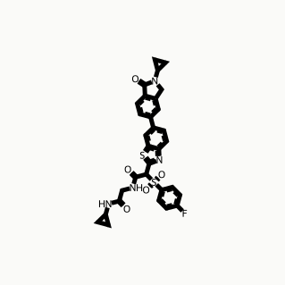 O=C(CNC(=O)C(c1nc2ccc(-c3ccc4c(c3)CN(C3CC3)C4=O)cc2s1)S(=O)(=O)c1ccc(F)cc1)NC1CC1